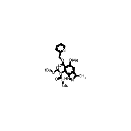 COc1cc2c(C)n[nH]c2c(N(C(=O)OC(C)(C)C)C(=O)OC(C)(C)C)c1C(=O)OCc1ccccn1